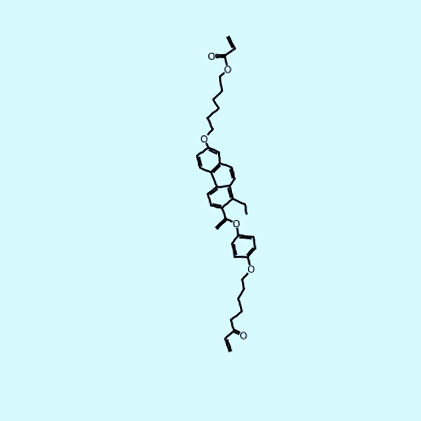 C=CC(=O)CCCCCOc1ccc(OC(=C)c2ccc3c(ccc4cc(OCCCCCCOC(=O)C=C)ccc43)c2CC)cc1